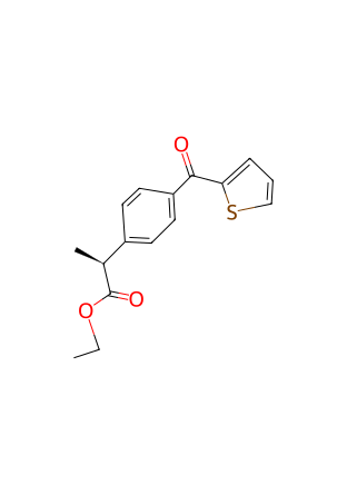 CCOC(=O)[C@@H](C)c1ccc(C(=O)c2cccs2)cc1